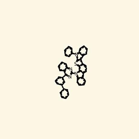 c1ccc(-c2cccc(-c3nc(-n4c5ccccc5c5ccc6c(sc7c6c6ccccc6n7-c6ccccc6)c54)nc4ccccc34)c2)cc1